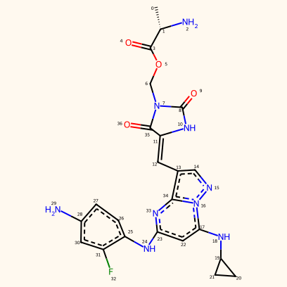 C[C@H](N)C(=O)OCN1C(=O)N/C(=C\c2cnn3c(NC4CC4)cc(Nc4ccc(N)cc4F)nc23)C1=O